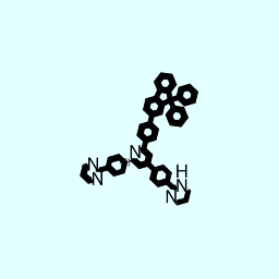 C1=C[C@H](c2cc(C3=CC=C(C4N=CCCN4)CC3)cc(-c3ccc(-c4ccc5c(c4)C(c4ccccc4)(c4ccccc4)c4ccccc4-5)cc3)n2)CC=C1c1ncccn1